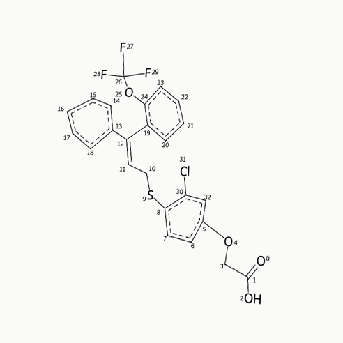 O=C(O)COc1ccc(SCC=C(c2ccccc2)c2ccccc2OC(F)(F)F)c(Cl)c1